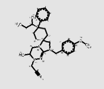 CCC(C)[C@]1(c2ccccc2)CC[C@]2(CC1)CN(Cc1ccc(OC)cc1)C1=NN(CC#N)C(O)CN12